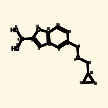 OB(O)c1cc2cc(COCC3CC3)ccc2o1